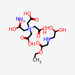 CCOC(=O)CNCC(O)O.N.O=C(O)C[N+](CC(=O)O)(CC(=O)O)CC(=O)O